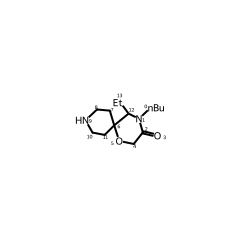 CCCCN1C(=O)COC2(CCNCC2)C1CC